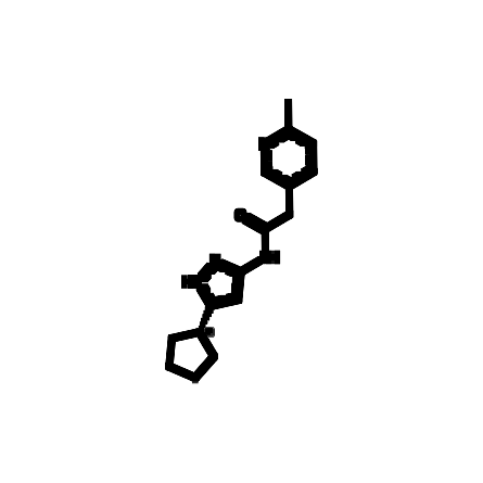 Cc1ccc(CC(=O)Nc2cc([C@@H]3C[CH]CC3)[nH]n2)cn1